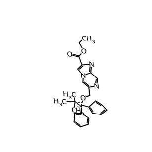 CCOC(=O)c1cn2cc(CO[Si](c3ccccc3)(c3ccccc3)C(C)(C)C)ncc2n1